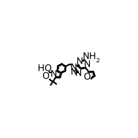 CC(C)(C)c1cc2cc(Cn3nnc4c(-c5ccco5)nc(N)nc43)ccc2n1C(=O)O